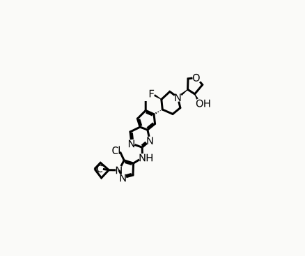 Cc1cc2cnc(Nc3cnn(C45CC(C4)C5)c3Cl)nc2cc1[C@H]1CCN([C@H]2COC[C@H]2O)C[C@@H]1F